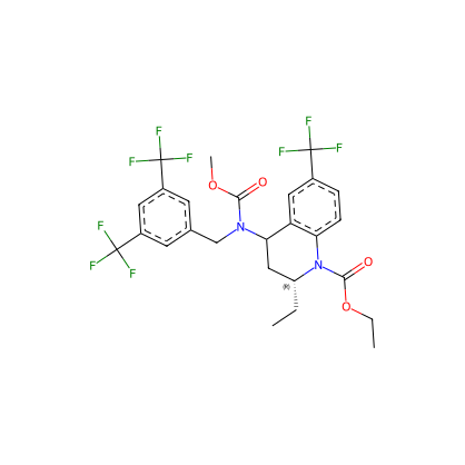 CCOC(=O)N1c2ccc(C(F)(F)F)cc2C(N(Cc2cc(C(F)(F)F)cc(C(F)(F)F)c2)C(=O)OC)C[C@H]1CC